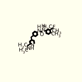 C=C(NC)c1cc(Cc2ccc(NC(=O)Nc3ccc(C)c(C(C)(C)F)c3)cc2)ccn1